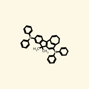 CC1(C)C2=C(c3ccc(N(c4ccccc4)c4ccccc4)cc31)C1C=CCCC(=C1)C(N(C1=CCCC=C1)c1ccccc1)=C2